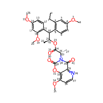 CCc1cc(OC)ccc1C(c1ccc(OC)cc1OC)[C@H](C)OC(=O)[C@H](C)n1c(=O)oc2c(OC)ccnc2c1=O